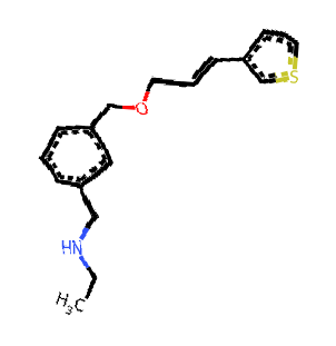 CCNCc1cccc(COCC=Cc2ccsc2)c1